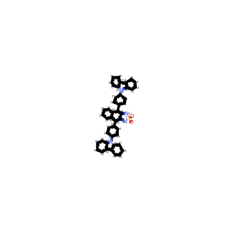 O=S1(=O)N=c2c(-c3ccc(-n4c5ccccc5c5ccccc54)cc3)c3ccccc3c(-c3ccc(-n4c5ccccc5c5ccccc54)cc3)c2=N1